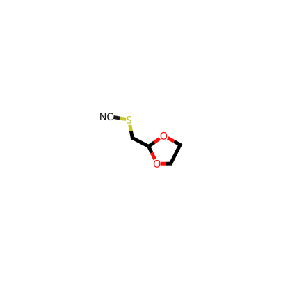 N#CSCC1OCCO1